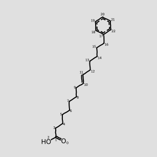 O=C(O)CCCCCCCC=CCCCCCc1ccccc1